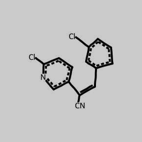 N#CC(=Cc1cccc(Cl)c1)c1ccc(Cl)nc1